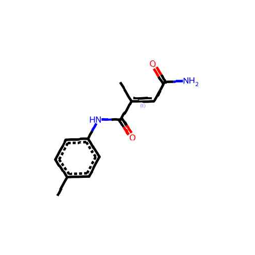 C/C(=C\C(N)=O)C(=O)Nc1ccc(C)cc1